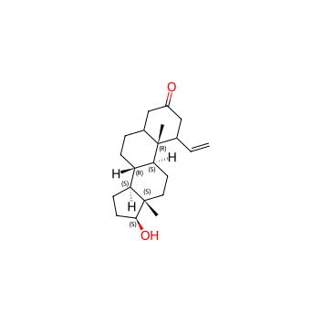 C=CC1CC(=O)CC2CC[C@@H]3[C@H](CC[C@]4(C)[C@@H](O)CC[C@@H]34)[C@@]12C